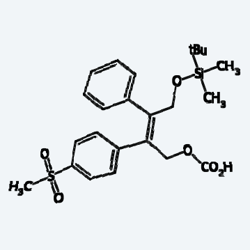 CC(C)(C)[Si](C)(C)OCC(=C(COC(=O)O)c1ccc(S(C)(=O)=O)cc1)c1ccccc1